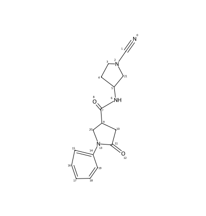 N#CN1CCC(NC(=O)C2CC(=O)N(c3ccccc3)C2)C1